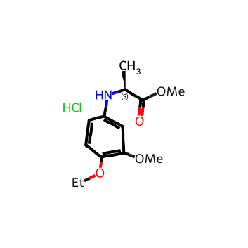 CCOc1ccc(N[C@@H](C)C(=O)OC)cc1OC.Cl